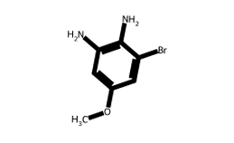 COc1cc(N)c(N)c(Br)c1